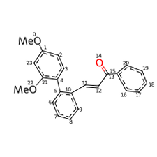 COc1ccc(-c2ccccc2C=CC(=O)c2ccccc2)c(OC)c1